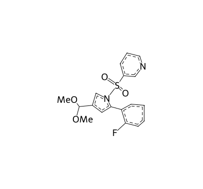 COC(OC)c1cc(-c2ccccc2F)n(S(=O)(=O)c2cccnc2)c1